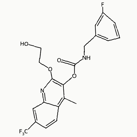 Cc1c(OC(=O)NCc2cccc(F)c2)c(OCCO)nc2cc(C(F)(F)F)ccc12